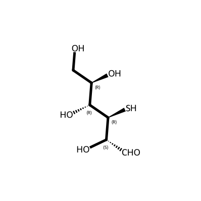 O=C[C@H](O)[C@H](S)[C@H](O)[C@H](O)CO